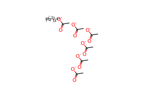 CC(=O)[O-].CC(=O)[O-].CC(=O)[O-].CC(=O)[O-].CC(=O)[O-].CC(=O)[O-].[Pb+2].[Ti+4]